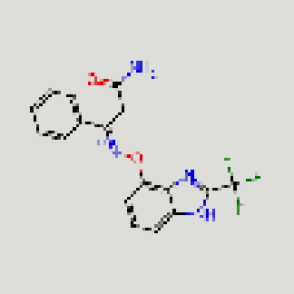 NC(=O)C/C(=N\Oc1cccc2[nH]c(C(F)(F)F)nc12)c1ccccc1